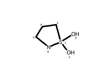 OS1(O)CCC[N]1